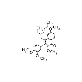 CCCCC(CC)Cn1c(-c2ccc(OC)c(OC)c2)c(OC)c(=O)c2ccc(OC)cc21